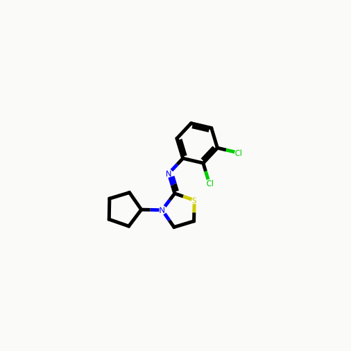 Clc1cccc(N=C2SCCN2C2CCCC2)c1Cl